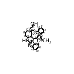 Cc1ccc(Cn2c(NC3CCC[N+](CCO)(COc4ccccc4)CC3)nc3cccnc32)o1